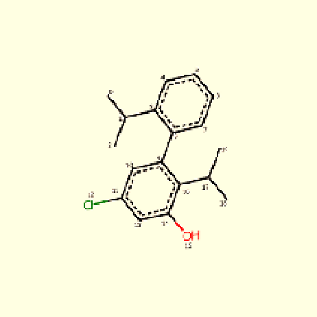 CC(C)c1ccccc1-c1cc(Cl)cc(O)c1C(C)C